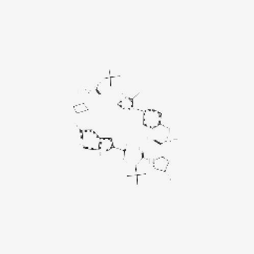 Cc1ncsc1-c1ccc([C@H](C)NC(=O)[C@@H]2C[C@@H](O)CN2C(=O)[C@@H](NC(=O)c2cc3cc(O[C@H]4C[C@@H](NC(=O)OC(C)(C)C)C4)ccc3o2)C(C)(C)C)cc1